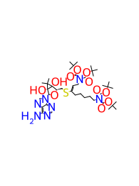 CC(C)(C)OC(=O)N(CC=C(CCCCCN(C(=O)OC(C)(C)C)C(=O)OC(C)(C)C)SC[C@H]1O[C@@H](n2cnc3c(N)ncnc32)[C@@]2(O)C(C)(C)[C@@]12O)C(=O)OC(C)(C)C